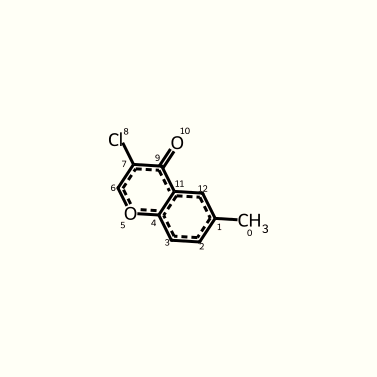 Cc1ccc2occ(Cl)c(=O)c2c1